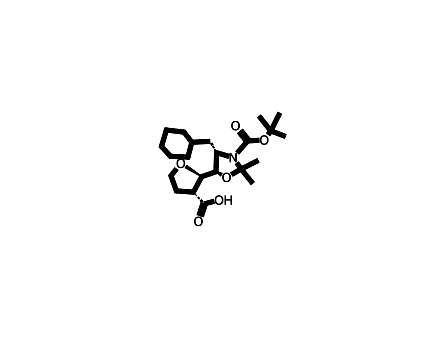 CC(C)(C)OC(=O)N1[C@@H](CC2CCCCC2)[C@H]([C@@H]2OCC[C@H]2C(=O)O)OC1(C)C